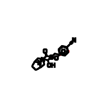 COCCOC(=O)N1CC2CCC(C1)N2CC(O)COc1ccc(C#N)cc1